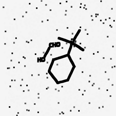 C[N+](C)(C)C1CCCCC1.O=CO